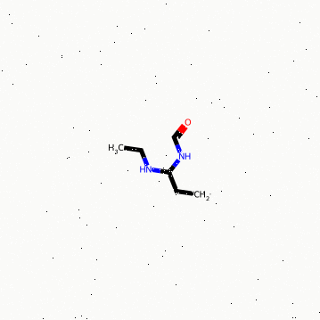 [CH2]CC(NC=O)NCC